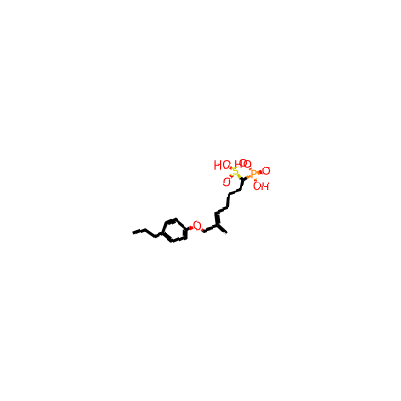 CCCc1ccc(OCC(C)=CCCCC(P(=O)(O)O)S(=O)(=O)O)cc1